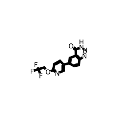 O=c1[nH]nnc2ccc(-c3ccc(OCC(F)(F)F)nc3)cc12